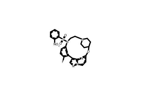 O=[N+]([O-])c1ccccc1S(=O)(=O)N1CCN2CCC(CC2)Oc2ccn3ncc(c3n2)-c2cc1ccc2F